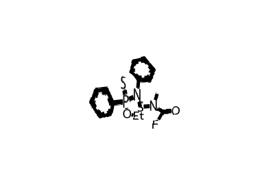 CCOP(=S)(c1ccccc1)N(SN(C)C(=O)F)c1ccccc1